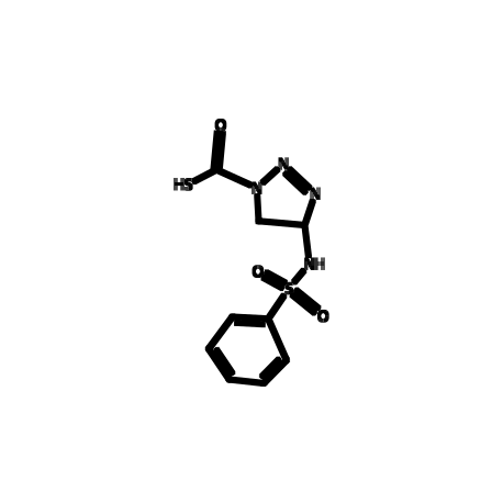 O=C(S)N1CC(NS(=O)(=O)c2ccccc2)N=N1